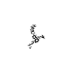 CC(C)(C)OC(=O)N1CCC2(CCN(c3ccc4c5c(OCOCC[Si](C)(C)C)ncnc5n(COCC[Si](C)(C)C)c4c3)CC2)C1